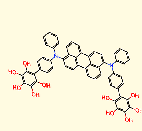 Oc1c(O)c(O)c(-c2ccc(N(c3ccccc3)c3ccc4c5cccc6c(N(c7ccccc7)c7ccc(-c8c(O)c(O)c(O)c(O)c8O)cc7)ccc(c7cccc3c74)c65)cc2)c(O)c1O